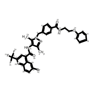 Cc1nn(Cc2ccc(C(=O)NCCOc3ccccc3)cc2)c(C)c1NC(=O)c1cc(C(F)(F)F)nc2ccc(Br)cc12